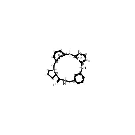 O=C1NCc2cccc(c2)Nc2cc(ncn2)Nc2cccc(c2)CN2CCCC12